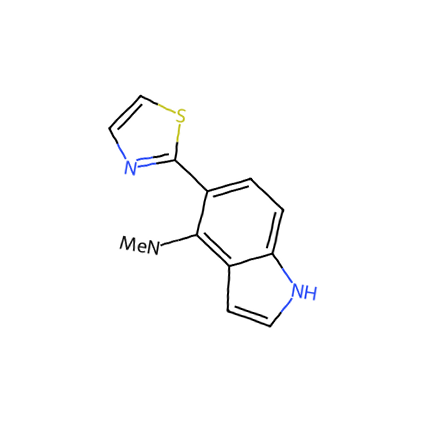 CNc1c(-c2nccs2)ccc2[nH]ccc12